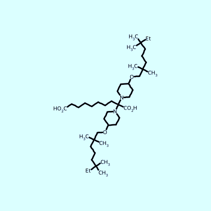 CCC(C)(C)CCCC(C)(C)COC1CCN(C(CCCCCCCC(=O)O)(C(=O)O)N2CCC(OCC(C)(C)CCCC(C)(C)CC)CC2)CC1